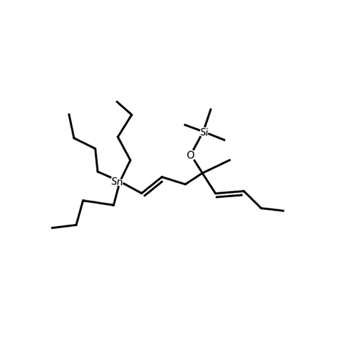 CCC=CC(C)(CC=[CH][Sn]([CH2]CCC)([CH2]CCC)[CH2]CCC)O[Si](C)(C)C